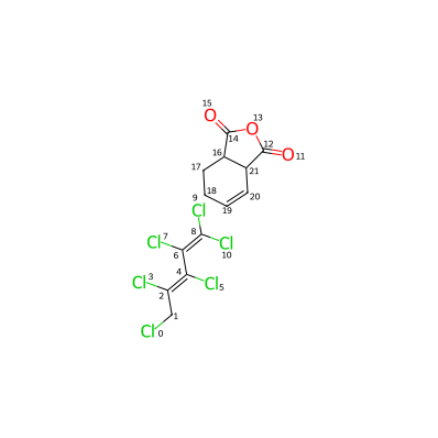 ClCC(Cl)=C(Cl)C(Cl)=C(Cl)Cl.O=C1OC(=O)C2CCC=CC12